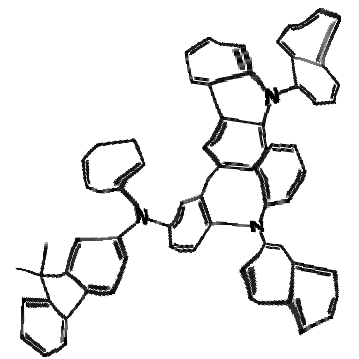 CC1(C)c2ccccc2-c2ccc(N(C3=CCCC=C3)c3ccc(N(c4ccccc4)c4ccc5ccccc5c4)c(-c4ccc5c(c4)c4ccccc4n5-c4cccc5ccccc45)c3)cc21